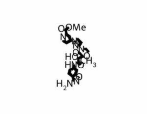 COC(=O)c1cc(-n2ccc(N3CCOC(C)([C@@H](O)C(=O)Nc4ccc5c(N)noc5c4)C3=O)n2)ccn1